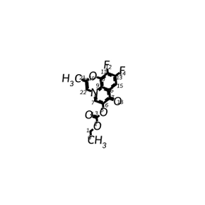 CCOC(=O)Oc1cn2c3c(c(F)c(F)cc3c1=O)OC(C)=C2